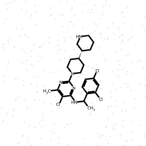 Cc1nc(N2CCC([C@H]3CCCNC3)CC2)nc(NC(C)c2ccc(Cl)cc2Cl)c1Cl